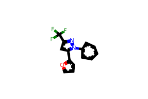 FC(F)(F)c1cc(-c2ccco2)n(-c2ccccc2)n1